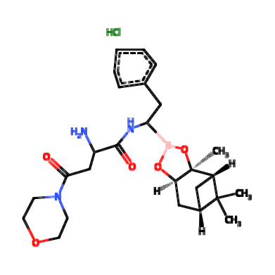 CC1(C)[C@@H]2C[C@H]3OB(C(Cc4ccccc4)NC(=O)C(N)CC(=O)N4CCOCC4)O[C@@]3(C)[C@H]1C2.Cl